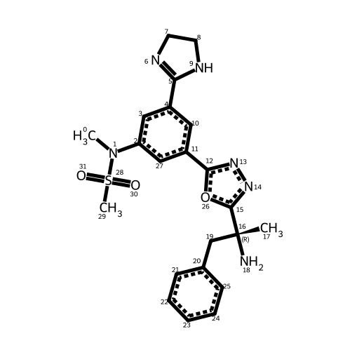 CN(c1cc(C2=NCCN2)cc(-c2nnc([C@](C)(N)Cc3ccccc3)o2)c1)S(C)(=O)=O